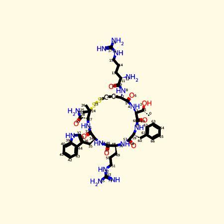 C[C@@H](O)[C@@H]1NC(=O)[C@@H](NC(=O)[C@@H](N)CCCNC(=N)N)CCSSC(C)(C)[C@@H](C(N)=O)NC(=O)[C@H](Cc2c[nH]c3ccccc23)NC(=O)[C@H](CCCNC(=N)N)NC(=O)[C@@H](Cc2ccccc2)NC1=O